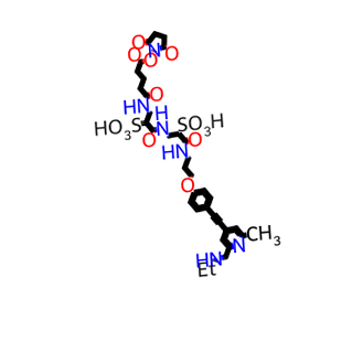 CCNCc1cc(C#Cc2ccc(OCCCNC(=O)C(CNC(=O)C(CNC(=O)CCCC(=O)ON3C(=O)CCC3=O)S(=O)(=O)O)S(=O)(=O)O)cc2)cc(C)n1